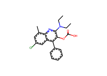 CCN(CC)c1nc2c(C)cc(Cl)cc2c(-c2ccccc2)c1OC(=O)O